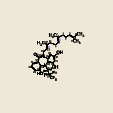 CC(C)=CCC/C(C)=C/CC/C(C)=C/CN1C(=O)c2cccc(O)c2N(C(F)(F)C(F)(F)C(F)(F)F)c2c(O)cc(O)cc21